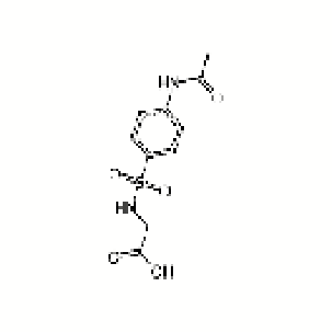 CC(=O)Nc1ccc(S(=O)(=O)NCC(=O)O)cc1